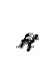 CN1CCN(CCCN2c3ccccc3Sc3ccc(Cl)cc32)CC1.COc1cc(C(=O)NS(=O)(=O)c2ccccc2C)ccc1Cc1cn(C)c2ccc(NC(=O)OC3CCCC3)cc12.O=S(=O)(O)CCS(=O)(=O)O